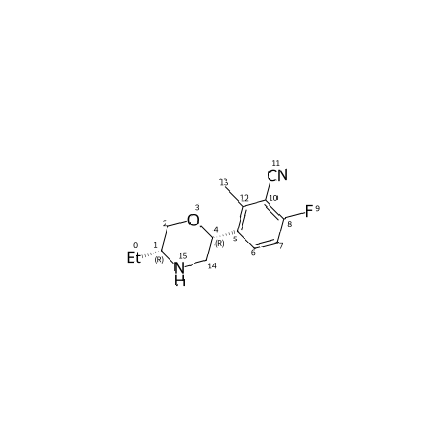 CC[C@@H]1CO[C@H](c2ccc(F)c(C#N)c2C)CN1